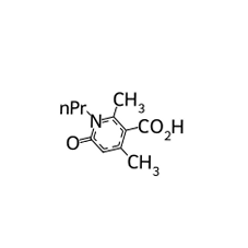 CCCn1c(C)c(C(=O)O)c(C)cc1=O